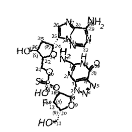 Nc1nc2c(nnn2[C@@H]2O[C@H](CO)[C@H](F)[C@H]2OP(O)(=S)OCC2O[C@@H](c3cnc4c(N)ncnn34)C[C@@H]2O)c(=O)[nH]1